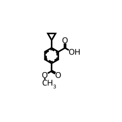 COC(=O)c1ccc(C2CC2)c(C(=O)O)c1